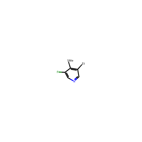 CCc1cncc(F)c1SC